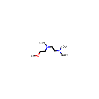 CCCCCCCCN(CCCCCCCC)CCN(CCCCCCCC)CCOCC